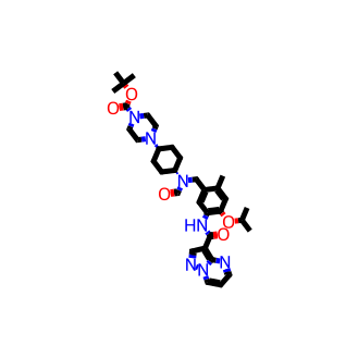 Cc1cc(OC(C)C)c(NC(=O)c2cnn3cccnc23)cc1CN(C=O)[C@H]1CC[C@H](N2CCN(C(=O)OC(C)(C)C)CC2)CC1